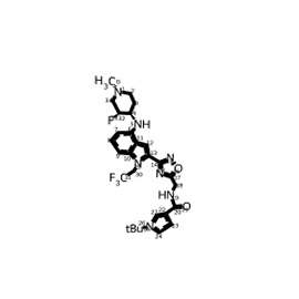 CN1CC[C@@H](Nc2cccc3c2cc(-c2noc(CNC(=O)c4ccn(C(C)(C)C)c4)n2)n3CC(F)(F)F)[C@@H](F)C1